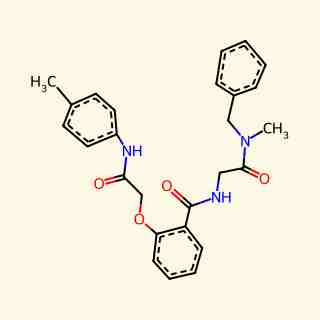 Cc1ccc(NC(=O)COc2ccccc2C(=O)NCC(=O)N(C)Cc2ccccc2)cc1